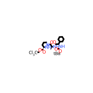 C[C@H](NC(=O)[C@@H](NC(=O)OC(C)(C)C)C1CCCCC1)C(=O)N1CCC[C@@H](C(=O)OCC(Cl)(Cl)Cl)N1